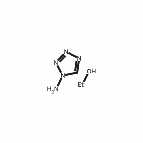 CCO.Nn1cnnn1